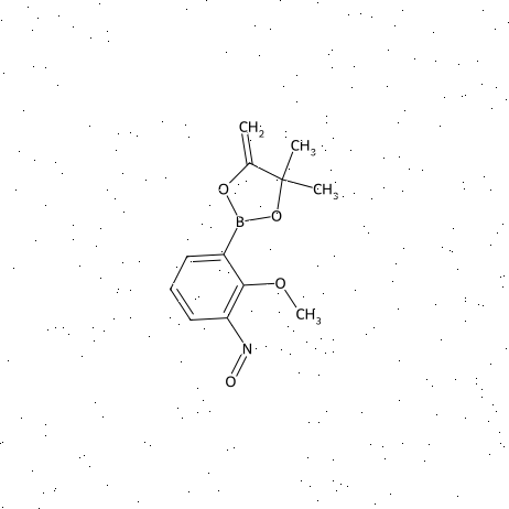 C=C1OB(c2cccc(N=O)c2OC)OC1(C)C